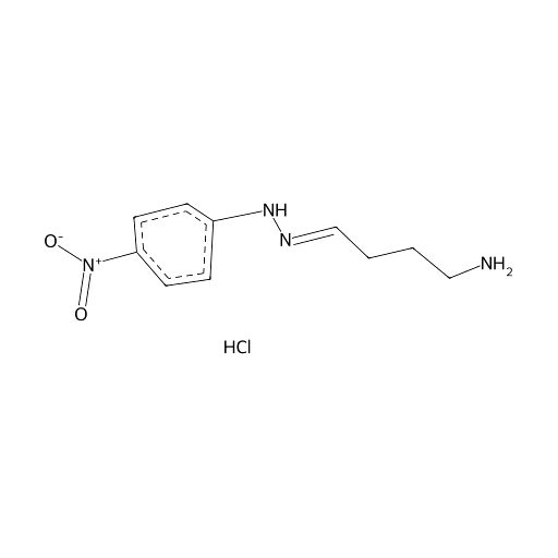 Cl.NCCCC=NNc1ccc([N+](=O)[O-])cc1